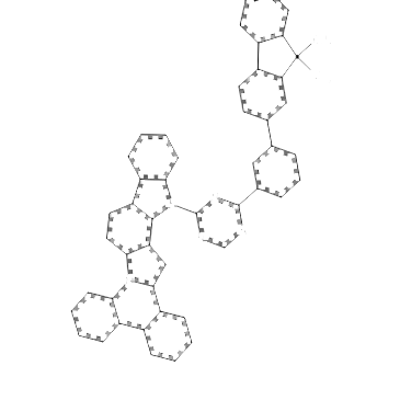 CC1(C)c2ccccc2-c2ccc(-c3cccc(-c4ncnc(-n5c6ccccc6c6ccc7c(cc8c9ccccc9c9ccccc9n87)c65)n4)c3)cc21